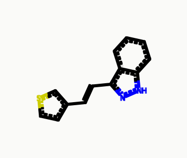 C(=Cc1n[nH]c2ccccc12)c1ccsc1